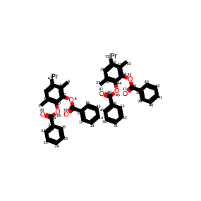 Cc1cc(C(C)C)c(C)c(OC(=O)c2ccccc2)c1OC(=O)c1ccccc1.Cc1cc(C(C)C)c(C)c(OC(=O)c2ccccc2)c1OC(=O)c1ccccc1